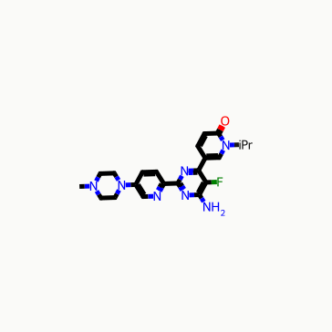 CC(C)n1cc(-c2nc(-c3ccc(N4CCN(C)CC4)cn3)nc(N)c2F)ccc1=O